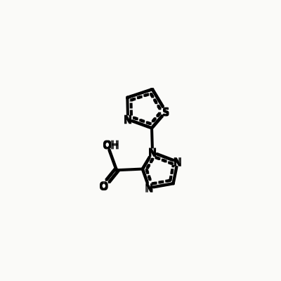 O=C(O)c1ncnn1-c1nccs1